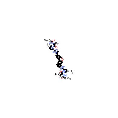 COC(=O)NC(C(=O)N1[C@@H](C)CC[C@H]1c1ncc(-c2ccc3c(c2)COc2cc4c(ccc5nc([C@@H]6C[C@H](C)CN6C(=O)C(NC(=O)OC)C(C)OC)[nH]c54)cc2-3)[nH]1)C(C)C